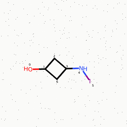 OC1CC(NI)C1